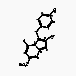 CCOC(=O)c1cc(C)n2c(Cc3ccc(Cl)cc3)c(C(C)C)nc2c1